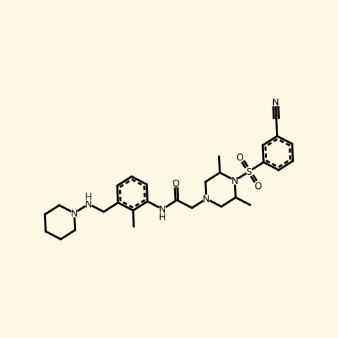 Cc1c(CNN2CCCCC2)cccc1NC(=O)CN1CC(C)N(S(=O)(=O)c2cccc(C#N)c2)C(C)C1